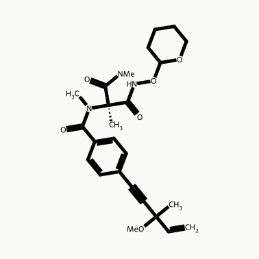 C=CC(C)(C#Cc1ccc(C(=O)N(C)[C@@](C)(C(=O)NC)C(=O)NOC2CCCCO2)cc1)OC